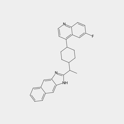 CC(c1nc2cc3ccccc3cc2[nH]1)C1CCC(c2ccnc3ccc(F)cc23)CC1